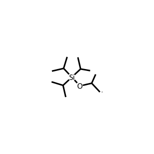 [CH2]C(C)O[Si](C(C)C)(C(C)C)C(C)C